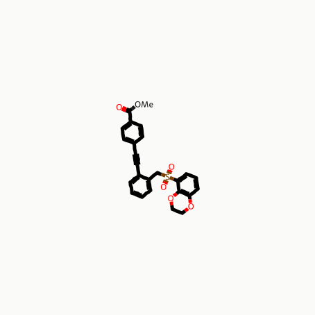 COC(=O)c1ccc(C#Cc2ccccc2CS(=O)(=O)c2cccc3c2OCCO3)cc1